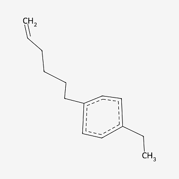 C=CCCCCc1ccc(CC)cc1